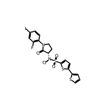 O=C1[C@@H](N(Cl)S(=O)(=O)c2ccc(-c3cccs3)s2)CCN1c1ccc(I)cc1F